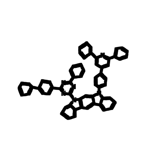 c1ccc(-c2ccc(-c3nc(-c4ccccc4)nc(-n4c5ccccc5c5cc6c7ccccc7n(-c7ccc(-c8cc(-c9ccccc9)nc(-c9ccccc9)c8)cc7)c6cc54)n3)cc2)cc1